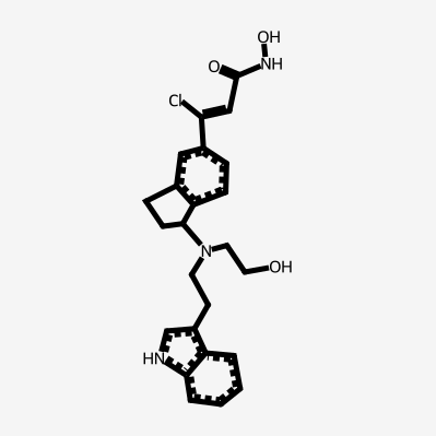 O=C(C=C(Cl)c1ccc2c(c1)CCC2N(CCO)CCc1c[nH]c2ccccc12)NO